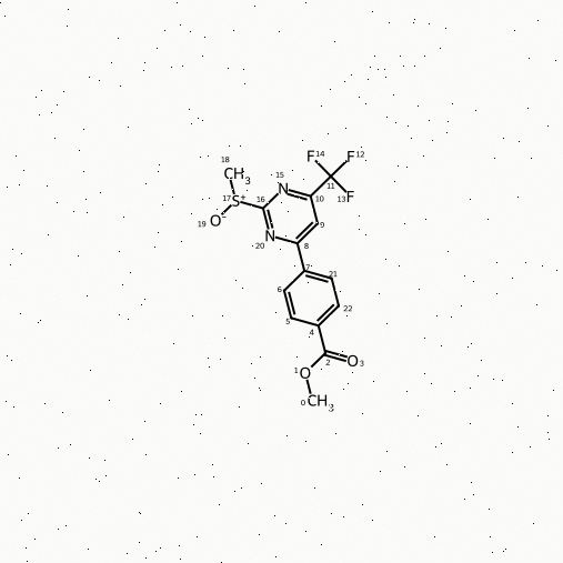 COC(=O)c1ccc(-c2cc(C(F)(F)F)nc([S+](C)[O-])n2)cc1